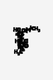 CCCCCOc1cc(CNc2cnn(CC)c(=O)c2Cl)ccc1O